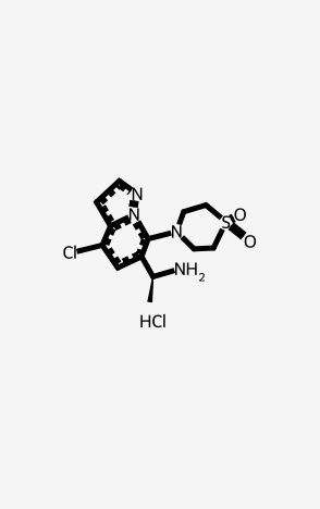 C[C@H](N)c1cc(Cl)c2ccnn2c1N1CCS(=O)(=O)CC1.Cl